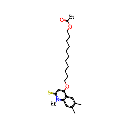 CCC(=O)OCCCCCCCCCCCOc1cc(=S)n(CC)c2cc(C)c(C)cc12